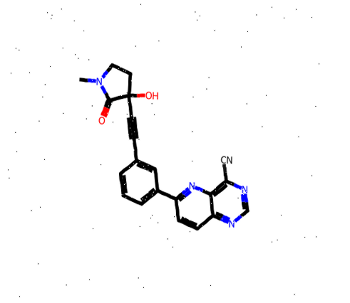 CN1CCC(O)(C#Cc2cccc(-c3ccc4ncnc(C#N)c4n3)c2)C1=O